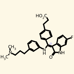 CN(C)CCCc1cccc(N/C(=C2\C(=O)Nc3cc(F)ccc32)c2ccc(CCC(=O)O)cc2)c1